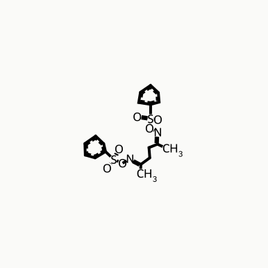 CC(CCC(C)=NOS(=O)(=O)c1ccccc1)=NOS(=O)(=O)c1ccccc1